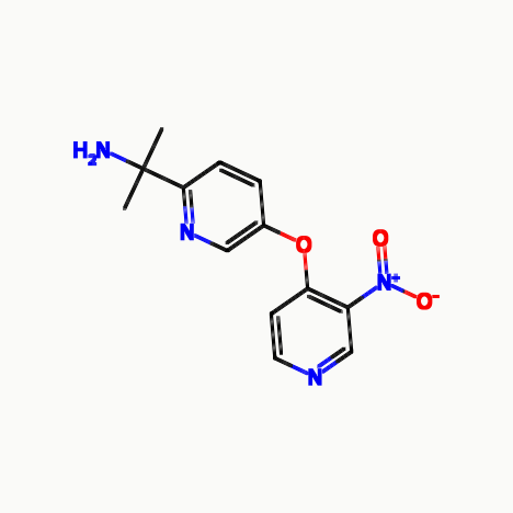 CC(C)(N)c1ccc(Oc2ccncc2[N+](=O)[O-])cn1